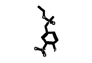 CCOP(C)(=O)Cc1ccc(F)c([N+](=O)[O-])c1